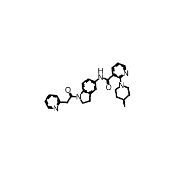 CC1CCN(c2ncccc2C(=O)Nc2ccc3c(c2)CCN3C(=O)Cc2ccccn2)CC1